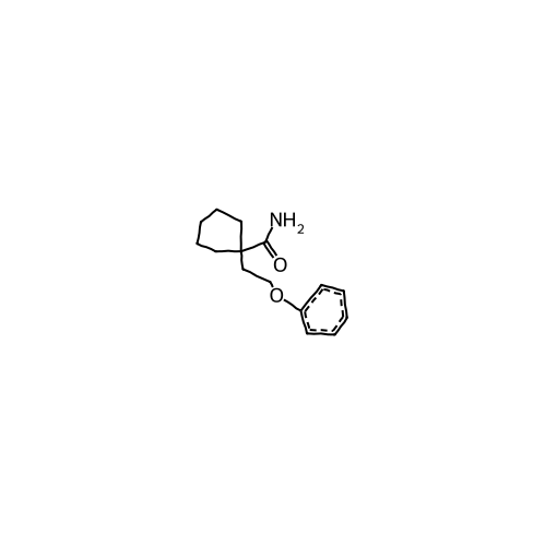 NC(=O)C1(CCOc2ccccc2)CCCCC1